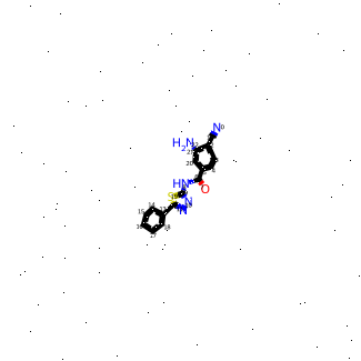 N#Cc1ccc(C(=O)Nc2nnc(-c3ccccc3)s2)cc1N